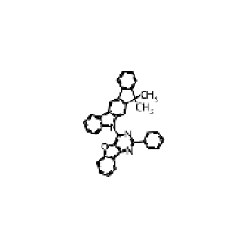 CC1(C)c2ccccc2-c2cc3c4ccccc4n(-c4nc(-c5ccccc5)nc5c4oc4ccccc45)c3cc21